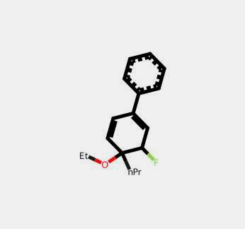 CCCC1(OCC)C=CC(c2ccccc2)=CC1F